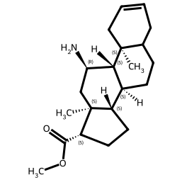 COC(=O)[C@H]1CC[C@H]2[C@@H]3CCC4CC=CC[C@]4(C)[C@H]3[C@H](N)C[C@]12C